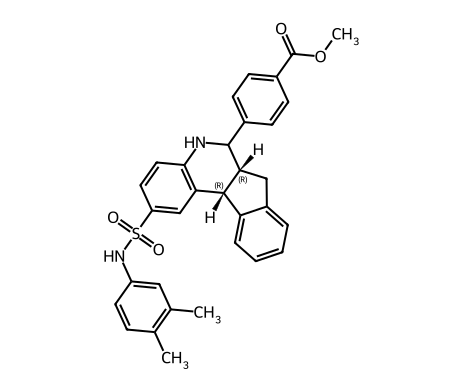 COC(=O)c1ccc(C2Nc3ccc(S(=O)(=O)Nc4ccc(C)c(C)c4)cc3[C@H]3c4ccccc4C[C@@H]23)cc1